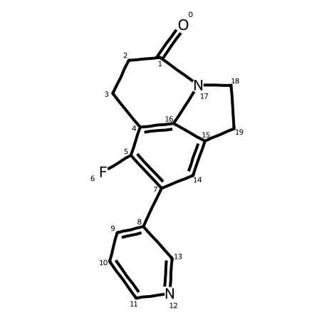 O=C1CCc2c(F)c(-c3cccnc3)cc3c2N1CC3